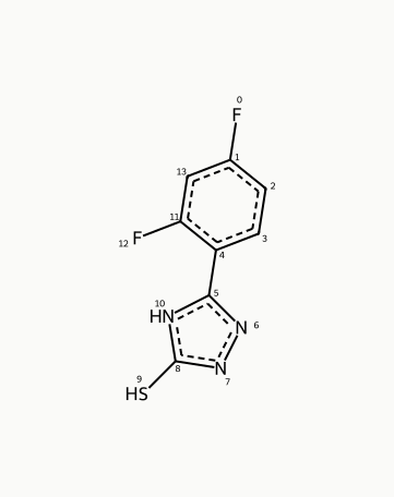 Fc1ccc(-c2nnc(S)[nH]2)c(F)c1